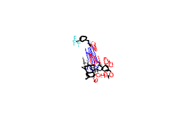 COc1c(C)cc2c(c1O)[C@H]1[C@@H]3Cc4c(OC(C)=O)c(C)c5c(c4[C@H](CNC(=O)/C=C/c4cccc(C(F)(F)F)c4)N3[C@@H](O)[C@@H]3CC2(C)N31)OCO5